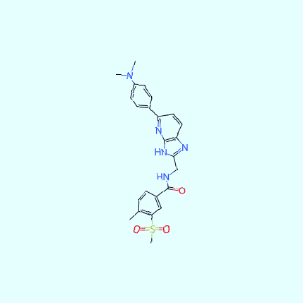 Cc1ccc(C(=O)NCc2nc3ccc(-c4ccc(N(C)C)cc4)nc3[nH]2)cc1S(C)(=O)=O